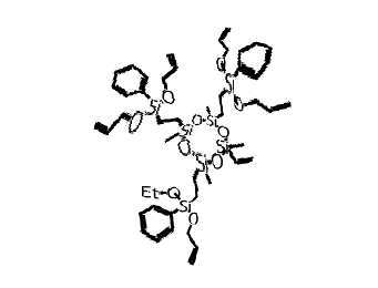 C=CCO[Si](CC[Si]1(C)O[Si](C)(C=C)O[Si](C)(CC[Si](OCC=C)(OCC=C)c2ccccc2)O[Si](C)(CC[Si](OCC=C)(OCC=C)c2ccccc2)O1)(OCC)c1ccccc1